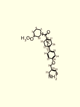 COC1CCCN(C(=O)C23CCC(c4ccc(OCC(=CF)CN)cc4)(CC2)CC3)C1